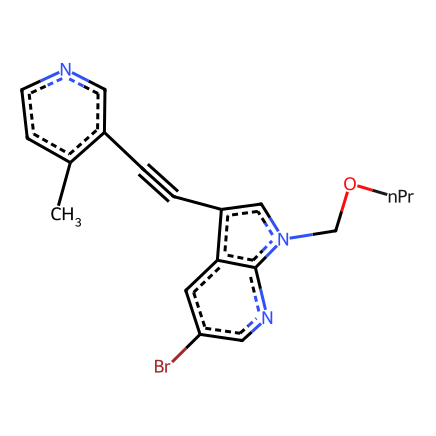 CCCOCn1cc(C#Cc2cnccc2C)c2cc(Br)cnc21